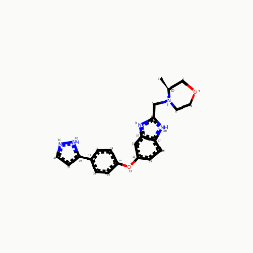 C[C@H]1COCCN1Cc1nc2cc(Oc3ccc(-c4ccn[nH]4)cc3)ccc2[nH]1